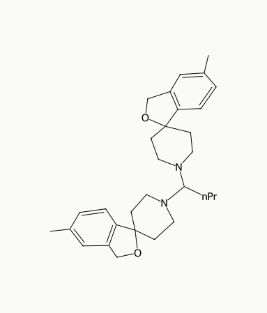 CCCC(N1CCC2(CC1)OCc1cc(C)ccc12)N1CCC2(CC1)OCc1cc(C)ccc12